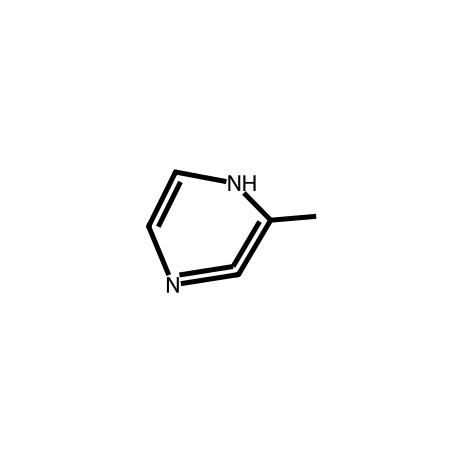 CC1=C=NC=CN1